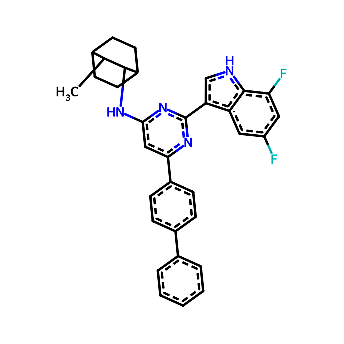 CC1C2CCC(CC2)C1Nc1cc(-c2ccc(-c3ccccc3)cc2)nc(-c2c[nH]c3c(F)cc(F)cc23)n1